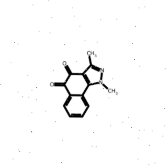 Cc1nn(C)c2c1C(=O)C(=O)c1ccccc1-2